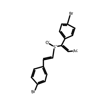 CC(=O)/C=C(\c1ccc(Br)cc1)[S+]([O-])C=Cc1ccc(Br)cc1